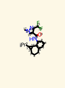 CC(C)C1C2CCCc3cccc(NC(=O)c4cn(C)nc4C(F)F)c3C21